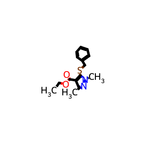 CCOC(=O)c1c(C)nn(C)c1SCc1ccccc1